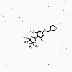 Cc1cc(OCC2CCOC2)cc(C)c1B1OC(C)(C)C(C)(C)O1